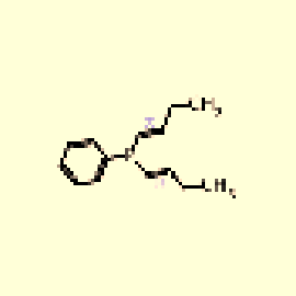 CC/C=C/P(/C=C/CC)c1ccccc1